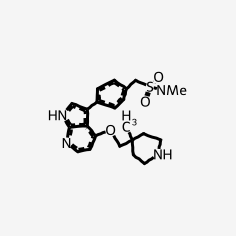 CNS(=O)(=O)Cc1ccc(-c2c[nH]c3nccc(OCC4(C)CCNCC4)c23)cc1